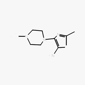 Cc1nc(N2CCN(C(=O)O)CC2)c(N=O)s1